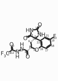 O=C1NC(=O)[C@@]2(C[C@@H](C(=O)NNC(=O)C(F)(F)F)Oc3ccc(F)cc32)N1